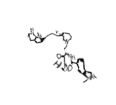 Cn1ncc2ccc(C(=O)N[C@@H](CCN3CCC[C@](F)(CCc4ccc5c(n4)NCCC5)C3)C(=O)O)cc21